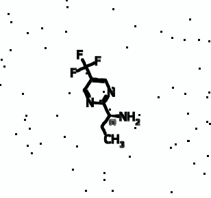 CC[C@H](N)c1ncc(C(F)(F)F)cn1